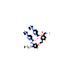 NC(=O)c1cc(F)c(CCOc2cc(NC(=O)c3ccc(-n4ccnc4)nn3)c(C(=O)O)cc2F)cc1NC(=O)c1ccc(-n2ccnc2)nn1